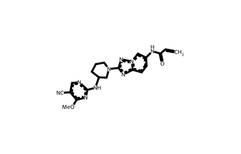 C=CC(=O)Nc1ccc2nc(N3CCCC(Nc4ncc(C#N)c(OC)n4)C3)nn2c1